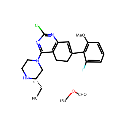 CC(C)(C)OC=O.COc1cccc(F)c1C1=Cc2nc(Cl)nc(N3CCN[C@@H](CC#N)C3)c2CC1